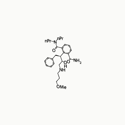 CCCN(CCC)C(=O)c1cccc(C(N)=O)c1[C@H](Cc1ccccc1)C(O)CNCCCOC